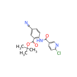 CC(C)(C)OC(=O)c1cc(C#N)ccc1NC(=O)c1ccc(Cl)nc1